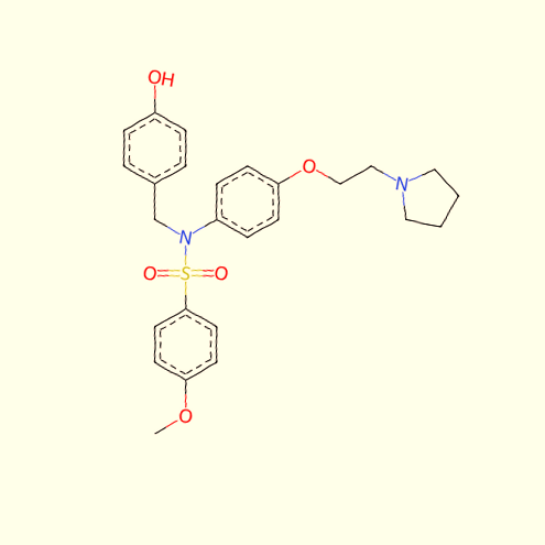 COc1ccc(S(=O)(=O)N(Cc2ccc(O)cc2)c2ccc(OCCN3CCCC3)cc2)cc1